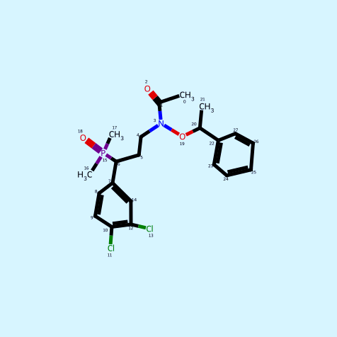 CC(=O)N(CCC(c1ccc(Cl)c(Cl)c1)P(C)(C)=O)OC(C)c1ccccc1